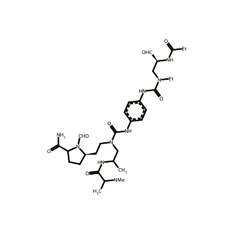 CCC(=O)N[C@H](C=O)CN(CC)C(=O)Nc1ccc(NC(=O)N(CC[C@H]2CCC(C(N)=O)N2C=O)CC(C)NC(=O)C(C)NC)cc1